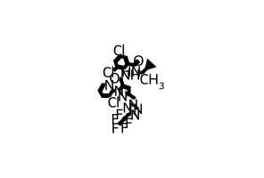 CC(NC(=O)c1cc(Cl)cc(Cl)c1NC(=O)c1cc(Cn2nnc(C(F)(F)C(F)(F)F)n2)nn1-c1ncccc1Cl)C1CC1